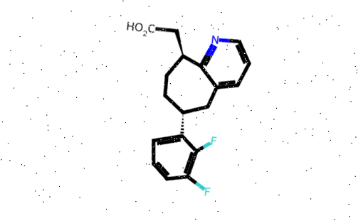 O=C(O)C[C@@H]1CC[C@@H](c2cccc(F)c2F)Cc2cccnc21